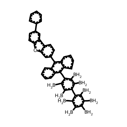 Bc1c(B)c(B)c(-c2c(B)c(B)c(-c3c4ccccc4c(-c4ccc5c(c4)oc4ccc(-c6ccccc6)cc45)c4ccccc34)c(B)c2B)c(B)c1B